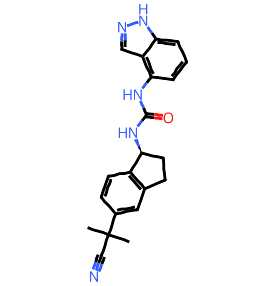 CC(C)(C#N)c1ccc2c(c1)CC[C@@H]2NC(=O)Nc1cccc2[nH]ncc12